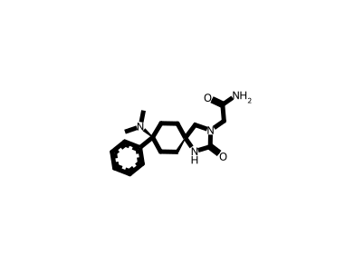 CN(C)[C@]1(c2ccccc2)CC[C@@]2(CC1)CN(CC(N)=O)C(=O)N2